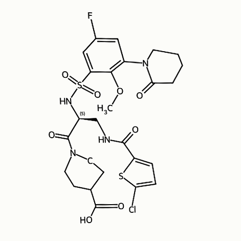 COc1c(N2CCCCC2=O)cc(F)cc1S(=O)(=O)N[C@@H](CNC(=O)c1ccc(Cl)s1)C(=O)N1CCC(C(=O)O)CC1